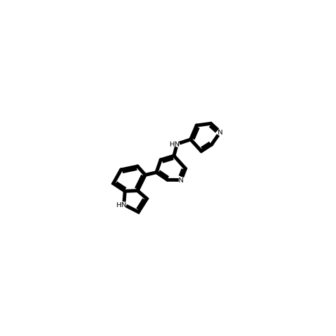 c1cc(-c2cncc(Nc3ccncc3)c2)c2cc[nH]c2c1